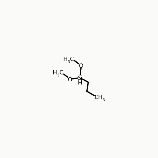 CC[CH][SiH](OC)OC